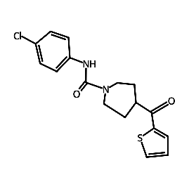 O=C(c1cccs1)C1CCN(C(=O)Nc2ccc(Cl)cc2)CC1